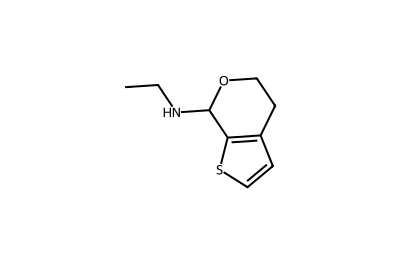 CCNC1OCCc2ccsc21